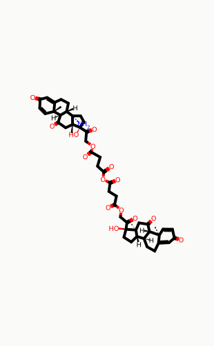 C[C@@]12CC(=O)[C@@H]3[C@H](CCC4=CC(=O)C=C[C@]43C)[C@@]1(N)CC[C@@]2(O)C(=O)COC(=O)CCC(=O)OC(=O)CCC(=O)OCC(=O)[C@@]1(O)CC[C@H]2[C@@H]3CCC4=CC(=O)C=C[C@]4(C)[C@H]3C(=O)C[C@@]21C